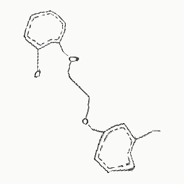 Cc1cccc(OCCOc2ccccc2Cl)c1